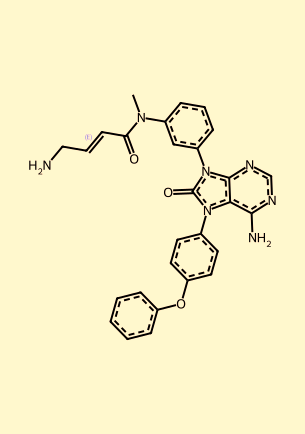 CN(C(=O)/C=C/CN)c1cccc(-n2c(=O)n(-c3ccc(Oc4ccccc4)cc3)c3c(N)ncnc32)c1